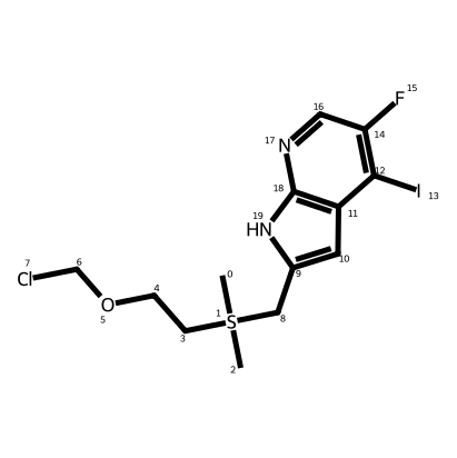 CS(C)(CCOCCl)Cc1cc2c(I)c(F)cnc2[nH]1